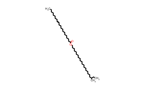 CCCCCCCCC=CCCCCCCCCCCCC(=O)OCCCCCCCCCCCCCCCCCCCCC(C)CC